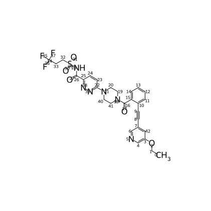 CCOc1cncc(C#Cc2ccccc2C(=O)N2CCN(c3ccc(C(=O)NS(=O)(=O)CCC(F)(F)F)nn3)CC2)c1